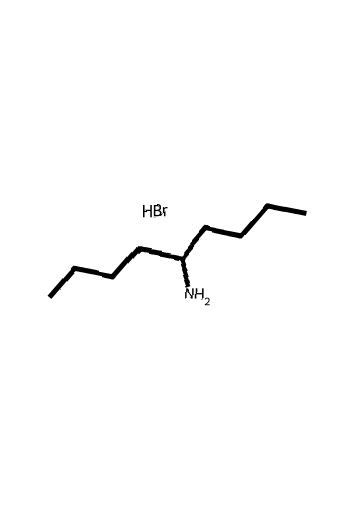 Br.CCCCC(N)CCCC